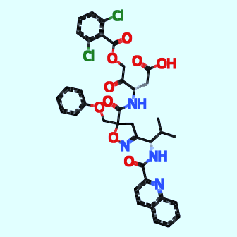 CC(C)[C@H](NC(=O)c1ccc2ccccc2n1)C1=NOC(COc2ccccc2)(C(=O)N[C@@H](CC(=O)O)C(=O)COC(=O)c2c(Cl)cccc2Cl)C1